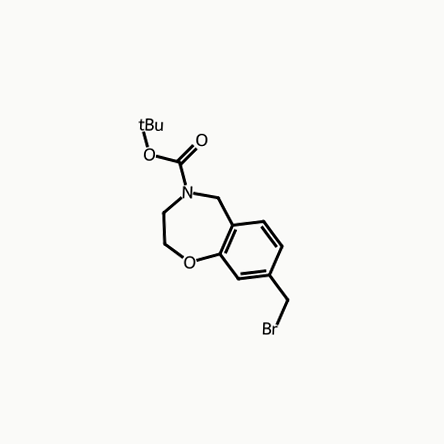 CC(C)(C)OC(=O)N1CCOc2cc(CBr)ccc2C1